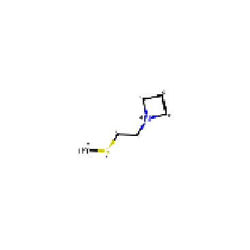 CC(C)SCCN1CCC1